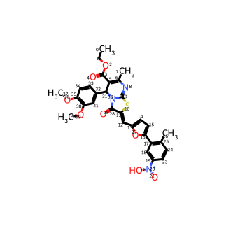 CCOC(=O)C1=C(C)N=c2s/c(=C\c3ccc(-c4cc([N+](=O)O)ccc4C)o3)c(=O)n2C1c1ccc(OC)c(OC)c1